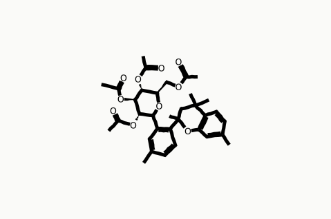 CC(=O)OC[C@H]1OC(c2cc(C)ccc2C2(C)CC(C)(C)c3ccc(C)cc3O2)[C@H](OC(C)=O)[C@@H](OC(C)=O)[C@@H]1OC(C)=O